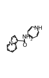 C1=CC=CNC=C1.NC(=O)c1ccn2ccccc12